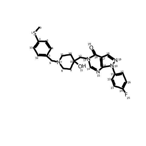 CSc1ccc(CN2CCC(O)(Cn3cnc4c(cnn4-c4ccc(F)cc4)c3=O)CC2)cc1